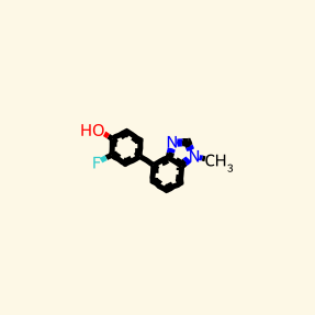 Cn1cnc2c(-c3ccc(O)c(F)c3)cccc21